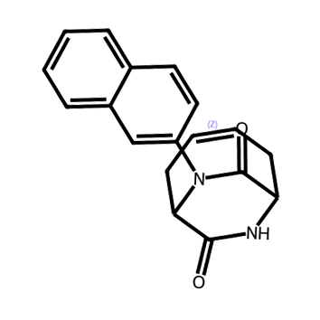 O=C1NC2C/C=C\CC1N(c1ccc3ccccc3c1)C2=O